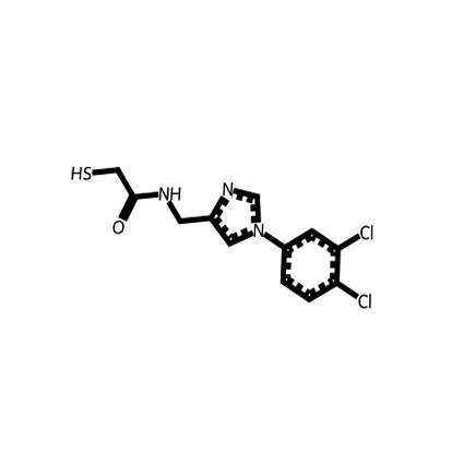 O=C(CS)NCc1cn(-c2ccc(Cl)c(Cl)c2)cn1